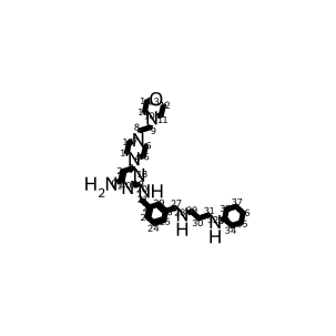 Nc1cc(N2CCN(CCN3CCOCC3)CC2)nc(NCc2cccc(CNCCCNC3CCCCC3)c2)n1